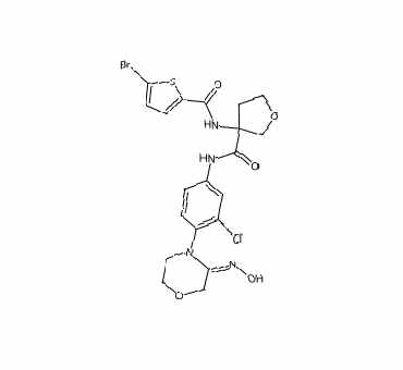 O=C(NC1(C(=O)Nc2ccc(N3CCOCC3=NO)c(Cl)c2)CCOC1)c1ccc(Br)s1